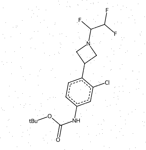 CC(C)(C)OC(=O)Nc1ccc(C2CN(C(F)C(F)F)C2)c(Cl)c1